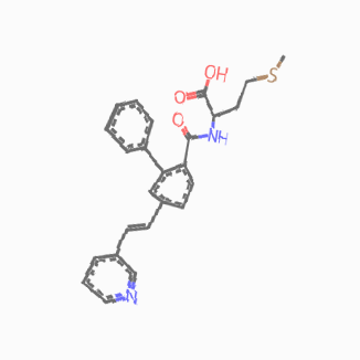 CSCCC(NC(=O)c1ccc(C=Cc2cccnc2)cc1-c1ccccc1)C(=O)O